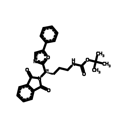 CC(C)(C)OC(=O)NCCC[C@@H](c1ncc(-c2ccccc2)o1)N1C(=O)c2ccccc2C1=O